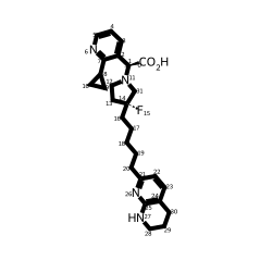 O=C(O)[C@H](c1cccnc1C1CC1)N1CC[C@](F)(CCCCCc2ccc3c(n2)NCCC3)C1